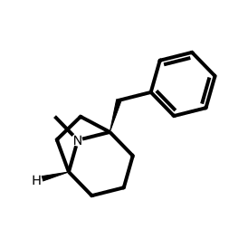 CN1[C@@H]2CCC[C@@]1(Cc1ccccc1)CC2